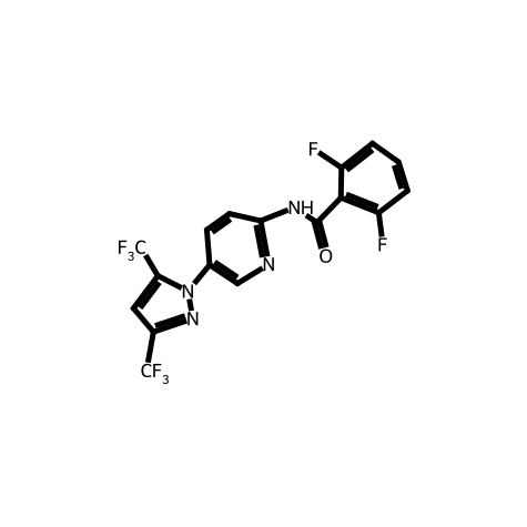 O=C(Nc1ccc(-n2nc(C(F)(F)F)cc2C(F)(F)F)cn1)c1c(F)cccc1F